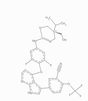 CC(C)[C@]1(CO)CN=C(Nc2cc(F)c(Oc3ccnc4[nH]cc(-c5ccc(OC(F)(F)F)c(C#N)c5)c34)c(F)c2)OC1